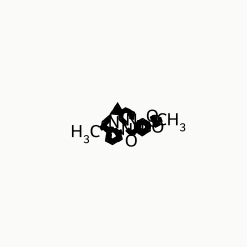 Cc1ccnc2c(NC(=O)c3ccc(S(C)(=O)=O)cc3N3CCC4(CC3)CC4)cccc12